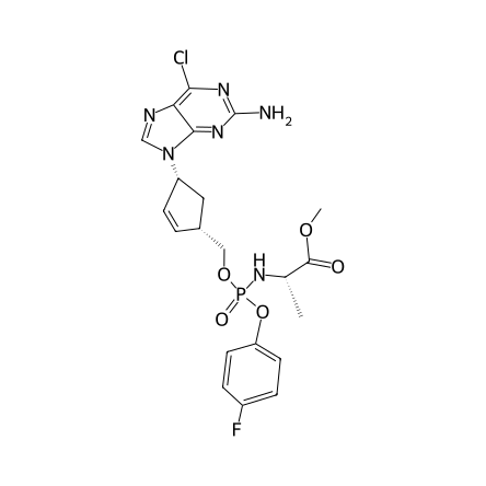 COC(=O)[C@H](C)NP(=O)(OC[C@@H]1C=C[C@H](n2cnc3c(Cl)nc(N)nc32)C1)Oc1ccc(F)cc1